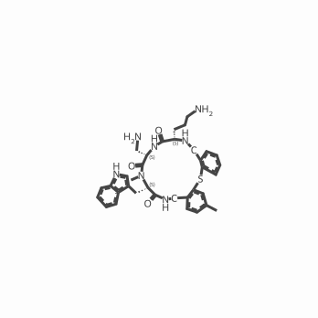 Cc1ccc2c(c1)Sc1ccccc1CN[C@@H](CCCN)C(=O)N[C@@H](CN)C(=O)N(C)[C@@H](Cc1c[nH]c3ccccc13)C(=O)NC2